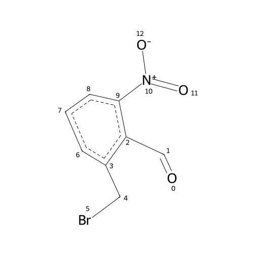 O=Cc1c(CBr)cccc1[N+](=O)[O-]